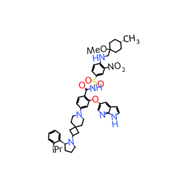 CO[C@]1(CNc2ccc(S(=O)(=O)NC(=O)c3ccc(N4CCC5(CC4)CC(N4CCC[C@H]4c4ccccc4C(C)C)C5)cc3Oc3cnc4[nH]ccc4c3)cc2[N+](=O)[O-])CC[C@@H](C)CC1